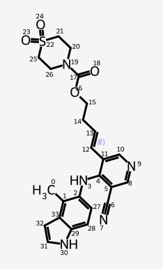 Cc1c(Nc2c(C#N)cncc2/C=C/CCOC(=O)N2CCS(=O)(=O)CC2)ccc2[nH]ccc12